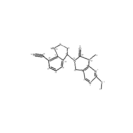 CSc1ncc2c(n1)N(C)C(=O)N(C1CCNc3c(C#N)cccc31)C2